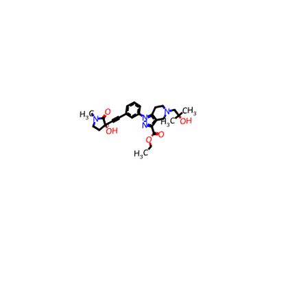 CCOC(=O)c1nn(-c2cccc(C#C[C@]3(O)CCN(C)C3=O)c2)c2c1CN(CC(C)(C)O)CC2